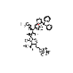 CON=C(C(=O)NC1C(=O)N2C(C(=O)O)=C(/C=C/OS(=O)(=O)C(F)(F)F)CSC12)c1csc(NC(c2ccccc2)(c2ccccc2)c2ccccc2)n1